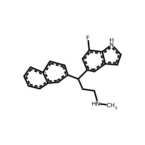 CNCCC(c1ccc2ccccc2c1)c1cc(F)c2[nH]ccc2c1